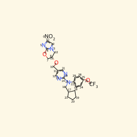 O=[N+]([O-])c1cn2c(n1)OC[C@@H](OCc1cnc(N(CC3CCCC3)c3ccc(OC(F)(F)F)cc3)nc1)C2